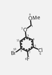 COCOc1cc(Cl)c(F)c(Br)c1